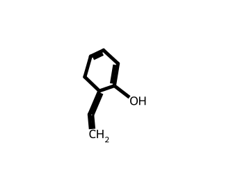 C=C=C1CC=CC=C1O